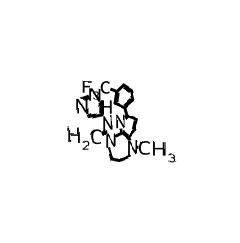 C=C(Nc1cncnc1)N1CCCCN(C)c2ccc(-c3cccc(C(F)(F)F)c3)nc21